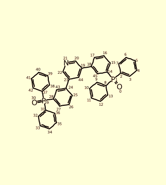 O=P(c1ccccc1)(c1ccccc1)c1cccc(-c2cncc(-c3cccc(P(=O)(c4ccccc4)c4ccccc4)c3)c2)c1